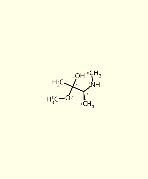 CN[C@@H](C)C(C)(O)OC